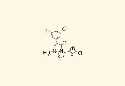 CN1C=C(c2cc(Cl)cc(Cl)c2)C(=O)N2C(c3cnc(Cl)s3)CSC12